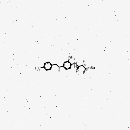 CCCC[C@@H](F)[C@@H](F)C(=O)Nc1ccc(NCc2ccc(C(F)(F)F)cc2)cc1N